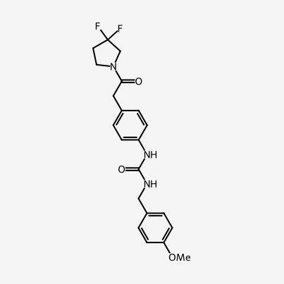 COc1ccc(CNC(=O)Nc2ccc(CC(=O)N3CCC(F)(F)C3)cc2)cc1